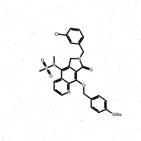 COc1ccc(COc2c3c(c(N(C)S(C)(=O)=O)c4cccnc24)CN(Cc2cccc(Cl)c2)C3=O)cc1